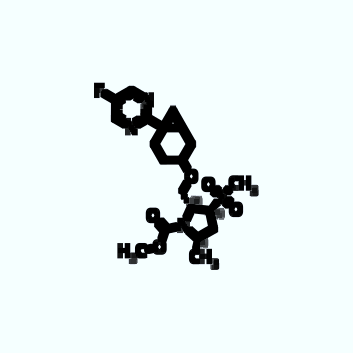 COC(=O)N1[C@H](C)C[C@H](S(C)(=O)=O)[C@H]1COC1CCC2(c3ncc(F)cn3)CC2C1